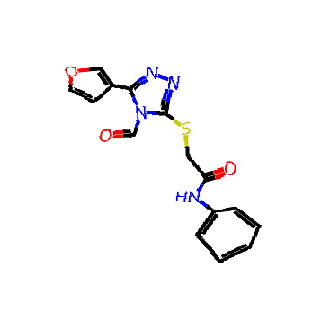 O=Cn1c(SCC(=O)Nc2ccccc2)nnc1-c1ccoc1